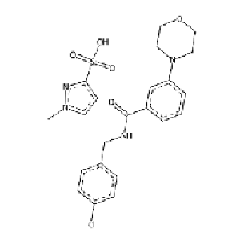 Cn1ccc(S(=O)(=O)O)n1.O=C(NCc1ccc(Cl)cc1)c1cccc(N2CCOCC2)c1